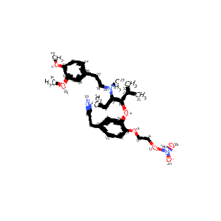 CCC(C(Oc1cc(CC#N)ccc1OCCO[N+](=O)[O-])C(C)C)N(C)CCc1ccc(OC)c(OC)c1